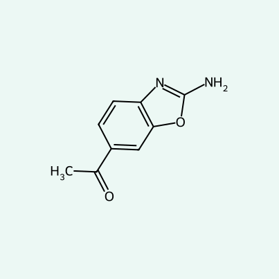 CC(=O)c1ccc2nc(N)oc2c1